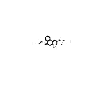 CCC(=O)n1cc2c3c(cccc31)C1=C[C@@H](C(=O)N(CC)CC)CN(C)[C@@H]1C2